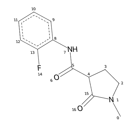 CN1CCC(C(=O)Nc2ccccc2F)C1=O